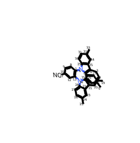 CC1=CCc2c(n(-c3ccc(C#N)cc3-n3c4ccc(C)cc4c4cc(C)ccc43)c3ccc(C)cc23)C=C1